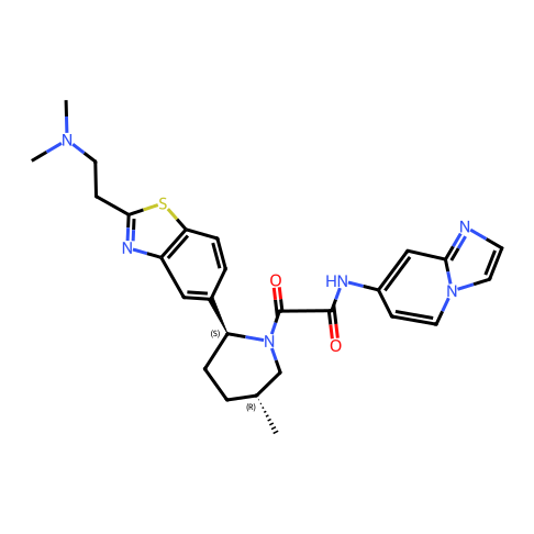 C[C@@H]1CC[C@@H](c2ccc3sc(CCN(C)C)nc3c2)N(C(=O)C(=O)Nc2ccn3ccnc3c2)C1